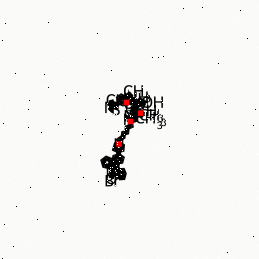 Cc1ncsc1-c1ccc([C@H](C)NC(=O)[C@@H]2C[C@@H](O)CN2C(=O)[C@@H](n2cc(CCCCCCN3CCC(c4ccc5c(c4)C4(CCCCC4)c4nc(=O)c6c(Br)cccc6n4-5)CC3)nn2)C(C)(C)C)cc1